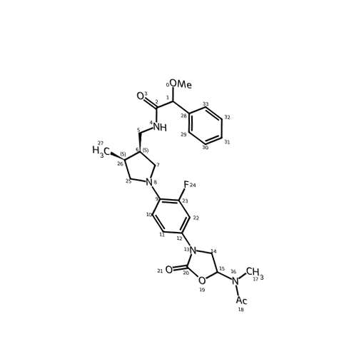 COC(C(=O)NC[C@H]1CN(c2ccc(N3CC(N(C)C(C)=O)OC3=O)cc2F)C[C@H]1C)c1ccccc1